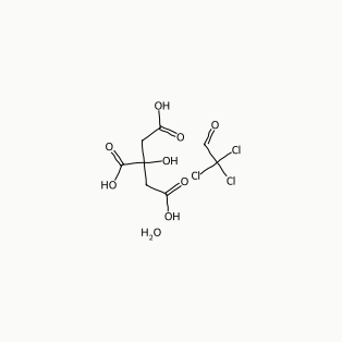 O.O=C(O)CC(O)(CC(=O)O)C(=O)O.O=CC(Cl)(Cl)Cl